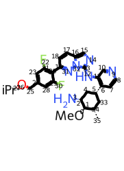 CO[C@@H]1[C@H](N)C[C@H](c2ccncc2Nc2ncc3ccc(-c4c(F)cc(COC(C)C)cc4F)nn23)C[C@@H]1C